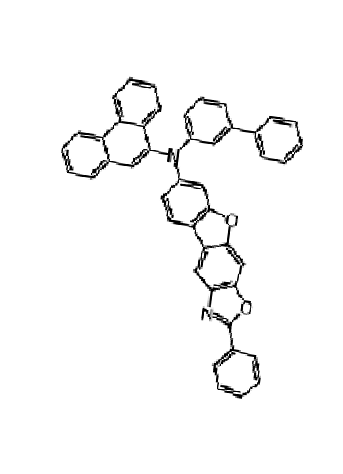 c1ccc(-c2cccc(N(c3ccc4c(c3)oc3cc5oc(-c6ccccc6)nc5cc34)c3cc4ccccc4c4ccccc34)c2)cc1